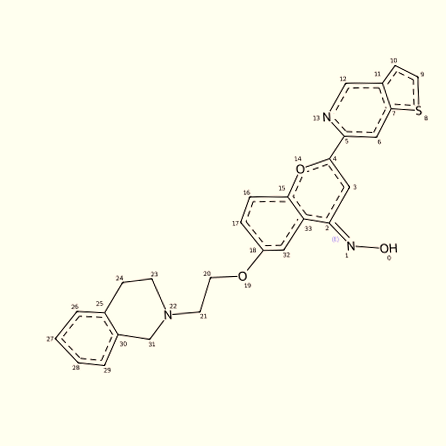 O/N=c1\cc(-c2cc3sccc3cn2)oc2ccc(OCCN3CCc4ccccc4C3)cc12